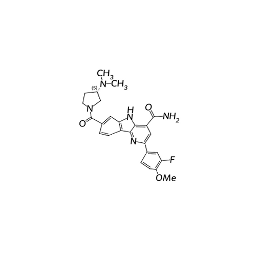 COc1ccc(-c2cc(C(N)=O)c3[nH]c4cc(C(=O)N5CC[C@H](N(C)C)C5)ccc4c3n2)cc1F